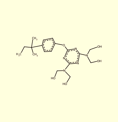 CCC(C)(C)c1ccc(Oc2nc(N(CO)CO)nc(N(CO)CO)n2)cc1